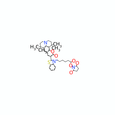 CC1(C)CCN2CCC(C)(C)c3c2c1cc1cc(-c2sc4ccccc4[n+]2CCCCCC(=O)ON2C(=O)CCC2=O)c(=O)oc31